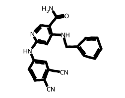 N#Cc1ccc(Nc2cc(NCc3ccccc3)c(C(N)=O)cn2)cc1C#N